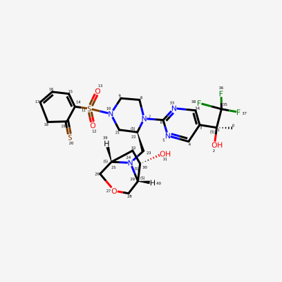 C[C@](O)(c1cnc(N2CCN(S(=O)(=O)C3=CC=CCC3=S)C[C@@H]2CN2[C@@H]3COC[C@H]2[C@@H](O)C3)nc1)C(F)(F)F